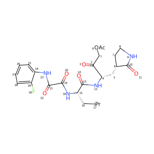 CC(=O)OCC(=O)[C@H](C[C@@H]1CCNC1=O)NC(=O)[C@H](CC(C)C)NC(=O)C(=O)Nc1ccccc1F